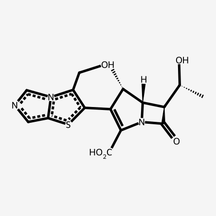 C[C@@H](O)[C@H]1C(=O)N2C(C(=O)O)=C(c3sc4cncn4c3CO)[C@H](C)[C@H]12